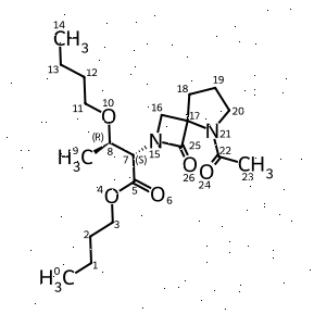 CCCCOC(=O)[C@H]([C@@H](C)OCCCC)N1CC2(CCCN2C(C)=O)C1=O